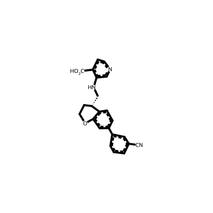 N#Cc1cccc(-c2ccc3c(c2)OCC[C@@H]3CNc2cnccc2C(=O)O)c1